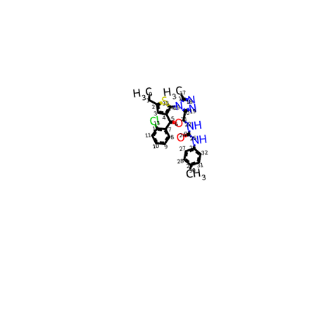 CCc1cc(C(=O)c2ccccc2Cl)c(-n2c(C)nnc2CNC(=O)Nc2ccc(C)cc2)s1